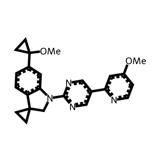 COc1ccnc(-c2cnc(N3CC4(CC4)c4ccc(C5(OC)CC5)cc43)nc2)c1